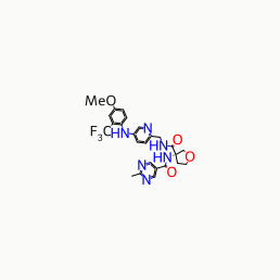 COc1ccc(Nc2ccc(CNC(=O)[C@]3(NC(=O)c4cnc(C)nc4)CCOC3)nc2)c(C(F)(F)F)c1